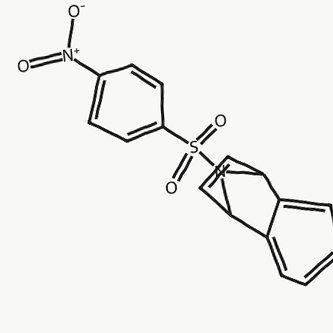 O=[N+]([O-])c1ccc(S(=O)(=O)N2C3C=CC2c2ccccc23)cc1